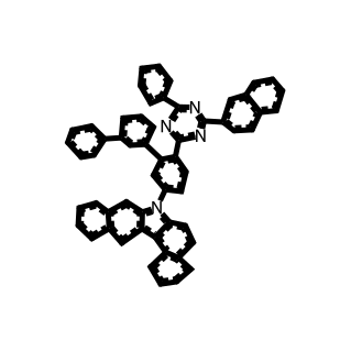 c1ccc(-c2cccc(-c3cc(-n4c5cc6ccccc6cc5c5c6ccccc6ccc54)ccc3-c3nc(-c4ccccc4)nc(-c4ccc5ccccc5c4)n3)c2)cc1